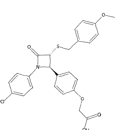 COc1ccc(CS[C@H]2C(=O)N(c3ccc(Cl)cc3)[C@@H]2c2ccc(OCC(=O)O)cc2)cc1